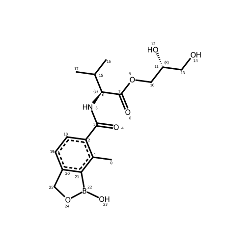 Cc1c(C(=O)N[C@H](C(=O)OC[C@H](O)CO)C(C)C)ccc2c1B(O)OC2